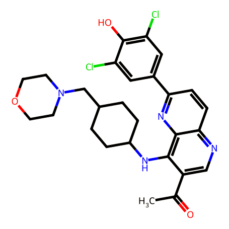 CC(=O)c1cnc2ccc(-c3cc(Cl)c(O)c(Cl)c3)nc2c1NC1CCC(CN2CCOCC2)CC1